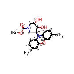 CC(C)(C)OC(=O)N1CC(O)C(O)C(N2c3ccc(C(F)(F)F)cc3Oc3cc(C(F)(F)F)ccc32)C1